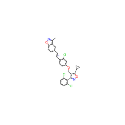 Cc1noc2ccc(/C=C/c3ccc(OCc4c(-c5c(Cl)cccc5Cl)noc4C4CC4)cc3Cl)cc12